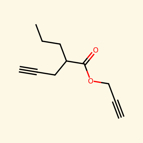 C#CCOC(=O)C(CC#C)CCC